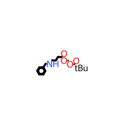 CC(C)(C)C(=O)OCOC(=O)CCCNCc1ccccc1